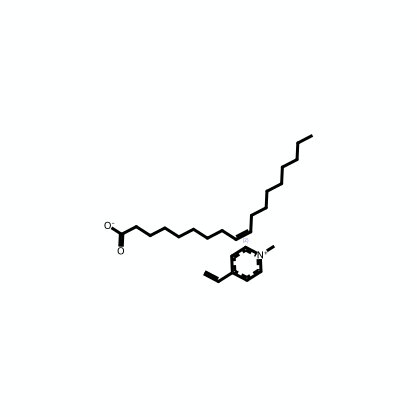 C=Cc1cc[n+](C)cc1.CCCCCCCC/C=C\CCCCCCCC(=O)[O-]